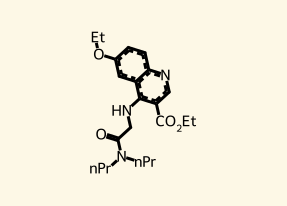 CCCN(CCC)C(=O)CNc1c(C(=O)OCC)cnc2ccc(OCC)cc12